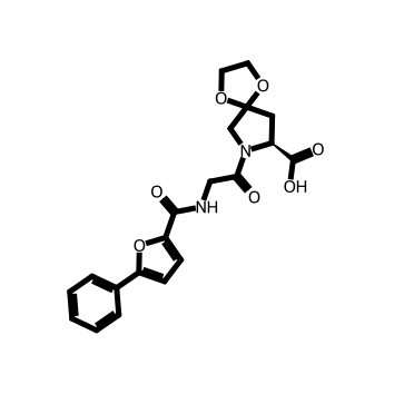 O=C(NCC(=O)N1CC2(C[C@H]1C(=O)O)OCCO2)c1ccc(-c2ccccc2)o1